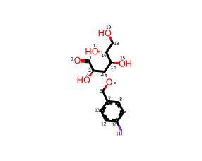 O=C[C@H](O)[C@@H](OCc1ccc(I)cc1)[C@H](O)[C@H](O)CO